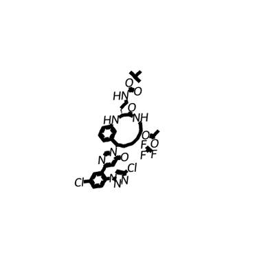 CC(=O)OC(F)(F)F.CC(C)(C)OC(=O)NCC[C@H]1Nc2cccc(c2)[C@@H](n2cnc(-c3cc(Cl)ccc3-n3cc(Cl)nn3)cc2=O)CCCCCNC1=O